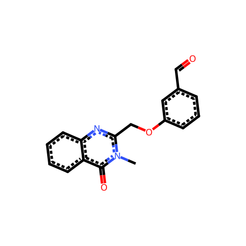 Cn1c(COc2cccc(C=O)c2)nc2ccccc2c1=O